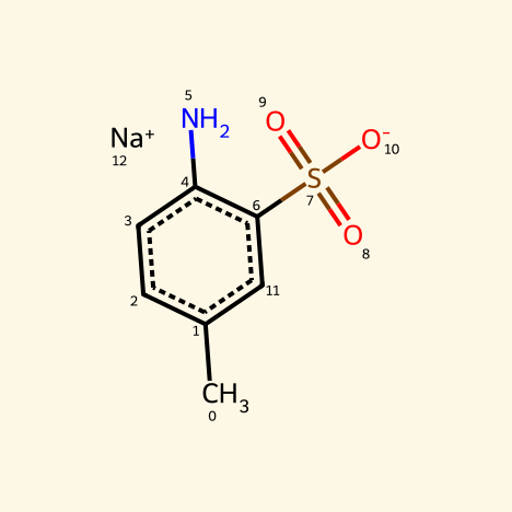 Cc1ccc(N)c(S(=O)(=O)[O-])c1.[Na+]